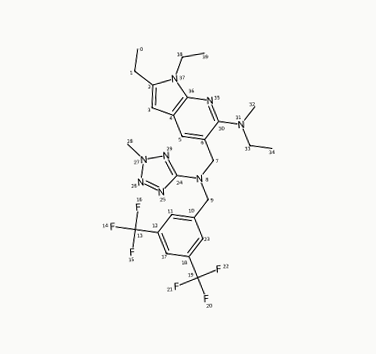 CCc1cc2cc(CN(Cc3cc(C(F)(F)F)cc(C(F)(F)F)c3)c3nnn(C)n3)c(N(C)CC)nc2n1CC